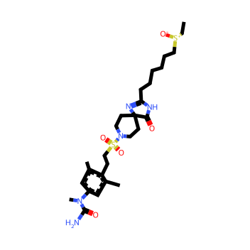 CC[S+]([O-])CCCCCCC1=NC2(CCN(S(=O)(=O)CCc3c(C)cc(N(C)C(N)=O)cc3C)CC2)C(=O)N1